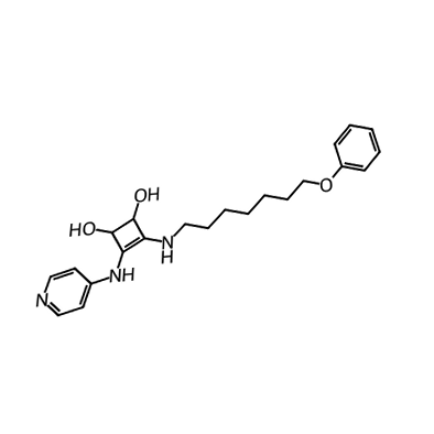 OC1C(NCCCCCCCOc2ccccc2)=C(Nc2ccncc2)C1O